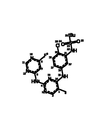 Cc1cnc(Nc2cc(F)ncn2)nc1Nc1ccc(Cl)c(NS(=O)(=O)C(C)(C)C)c1